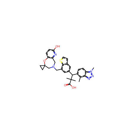 Cc1c(C(c2cc(CN3Cc4nc(O)ccc4OC4(CC4)C3)c3sccc3c2)C(C)(C)C(=O)O)ccc2c1nnn2C